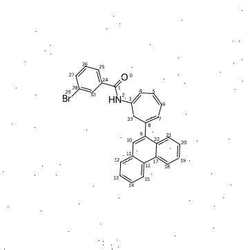 O=C(NC1=CC=CC=C(c2cc3ccccc3c3ccccc23)C1)c1cccc(Br)c1